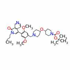 CCCCn1cc(-c2cc(OC)c(CN3CCC(OC4CCN(C(=O)OC(C)(C)C)CC4)CC3)cc2OC)c2ccncc2c1=O